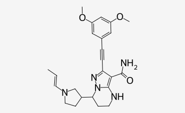 CC=CN1CCC(C2CCNc3c(C(N)=O)c(C#Cc4cc(OC)cc(OC)c4)nn32)C1